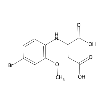 COc1cc(Br)ccc1NC(=CC(=O)O)C(=O)O